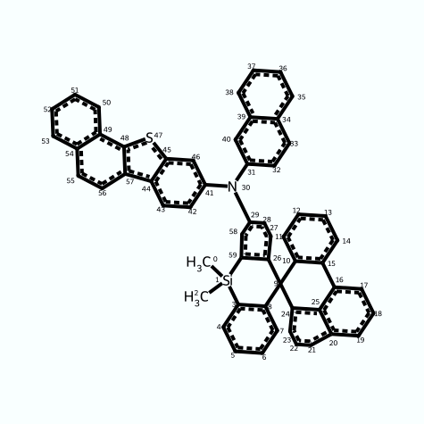 C[Si]1(C)c2ccccc2C2(c3ccccc3-c3cccc4cccc2c34)c2ccc(N(c3ccc4ccccc4c3)c3ccc4c(c3)sc3c5ccccc5ccc43)cc21